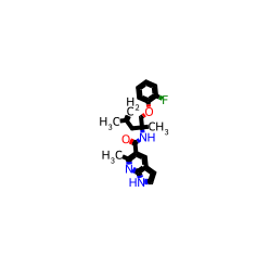 C=C(C)CC(C)(COc1ccccc1F)NC(=O)c1cc2cc[nH]c2nc1C